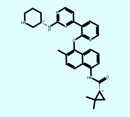 Cc1ccc2c(NC(=O)[C@@H]3CC3(C)C)cccc2c1Oc1ncccc1-c1ccnc(N[C@H]2CCCNC2)n1